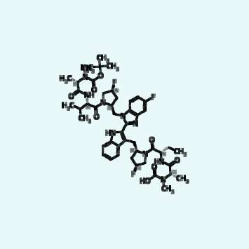 CC[C@H](NC(=O)[C@H](C)N(C)C(=O)O)C(=O)N1C[C@@H](F)C[C@H]1Cc1c(-c2nc3cc(F)ccc3n2C[C@@H]2C[C@H](F)CN2C(=O)[C@@H](NC(=O)[C@H](C)N(C)C(=O)OC(C)(C)C)C(C)C)[nH]c2ccccc12